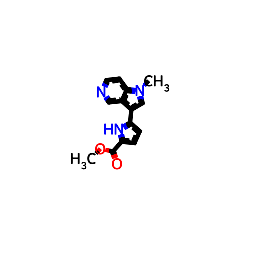 COC(=O)c1ccc(-c2cn(C)c3ccncc23)[nH]1